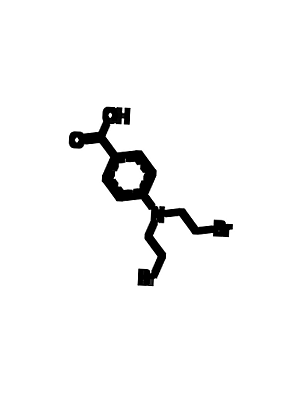 O=C(O)c1ccc(N(CCBr)CCBr)cc1